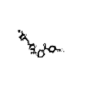 CC(C)(C)c1cnc(CSc2cnc(N[C@H]3CCCN(C(=O)c4ccc([N+](=O)[O-])cc4)C3)s2)o1